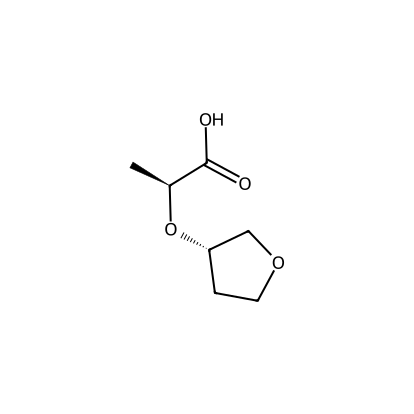 C[C@H](O[C@H]1CCOC1)C(=O)O